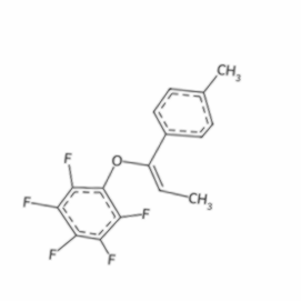 CC=C(Oc1c(F)c(F)c(F)c(F)c1F)c1ccc(C)cc1